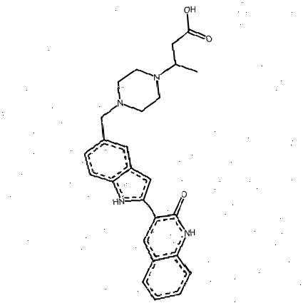 CC(CC(=O)O)N1CCN(Cc2ccc3[nH]c(-c4cc5ccccc5[nH]c4=O)cc3c2)CC1